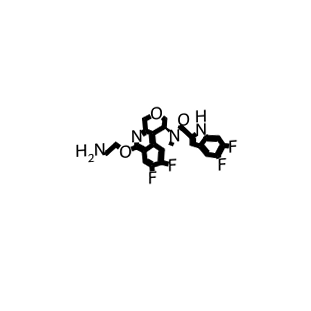 CN(C(=O)c1cc2cc(F)c(F)cc2[nH]1)[C@@H]1COCc2nc(OCCN)c3cc(F)c(F)cc3c21